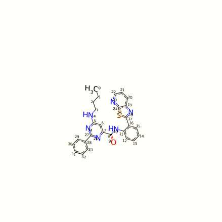 CCCCNc1cc(C(=O)Nc2ccccc2-c2nc3cccnc3s2)nc(-c2ccccc2)n1